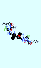 COC(=O)N[C@H](C(=O)N1CC(F)(F)C[C@H]1c1ncc(-c2ccc(-c3ccc(-c4cnc([C@@H]5CC(F)(F)CN5C(=O)[C@@H](NC(=O)OC)C(C)C)[nH]4)c4c3C3CCC4C3)c3c2C2CCC3CC2)[nH]1)C(C)C